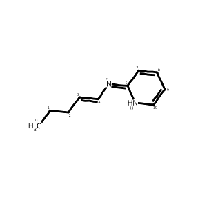 CCC/C=C/N=c1/cccc[nH]1